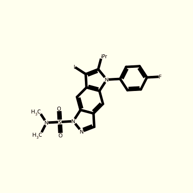 CC(C)c1c(I)c2cc3c(cnn3S(=O)(=O)N(C)C)cc2n1-c1ccc(F)cc1